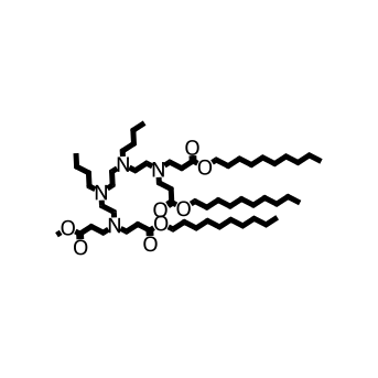 CCCCCCCCCCOC(=O)CCN(CCC(=O)OC)CCN(CCCC)CCN(CCCC)CCN(CCC(=O)OCCCCCCCCCC)CCC(=O)OCCCCCCCCCC